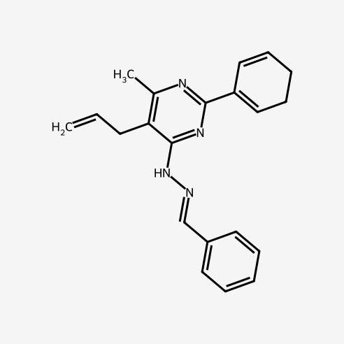 C=CCc1c(C)nc(C2=CCCC=C2)nc1N/N=C/c1ccccc1